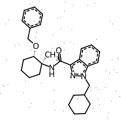 C[C@]1(NC(=O)c2nn(CC3CCCCC3)c3ccccc23)CCCC[C@@H]1OCc1ccccc1